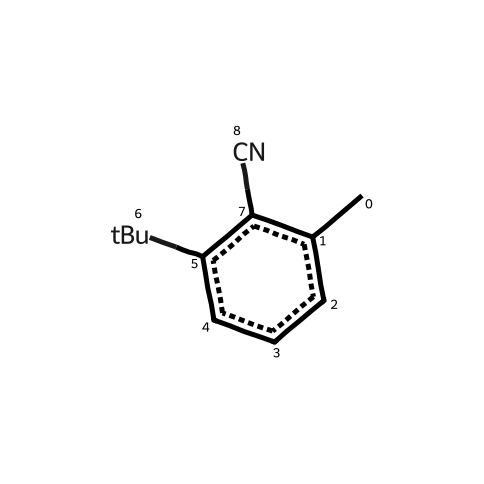 Cc1cccc(C(C)(C)C)c1C#N